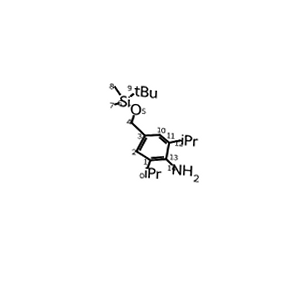 CC(C)c1cc(CO[Si](C)(C)C(C)(C)C)cc(C(C)C)c1N